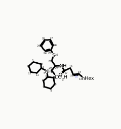 C1CCC(NC2CCCCC2)CC1.CCCCCC/C=C/CC(=O)NC(CSc1ccccc1)CC(=O)O